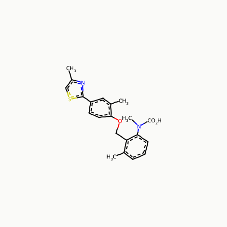 Cc1csc(-c2ccc(OCc3c(C)cccc3N(C)C(=O)O)c(C)c2)n1